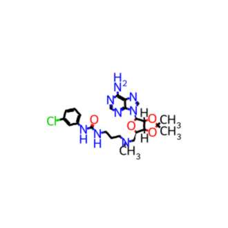 CN(CCCNC(=O)Nc1cccc(Cl)c1)C[C@H]1O[C@@H](n2cnc3c(N)ncnc32)[C@@H]2OC(C)(C)O[C@@H]21